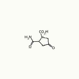 NC(=O)C1CC(=O)CN1C(=O)O